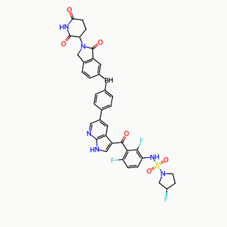 O=C1CCC(N2Cc3ccc(Bc4ccc(-c5cnc6[nH]cc(C(=O)c7c(F)ccc(NS(=O)(=O)N8CC[C@@H](F)C8)c7F)c6c5)cc4)cc3C2=O)C(=O)N1